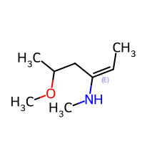 C/C=C(\CC(C)OC)NC